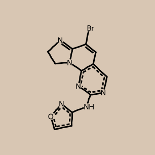 BrC1=Cc2cnc(Nc3ccon3)nc2N2CCN=C12